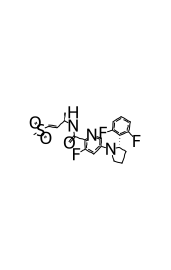 C[C@H](/C=C/S(C)(=O)=O)NC(=O)c1ncc(N2CCC[C@H]2c2c(F)cccc2F)cc1F